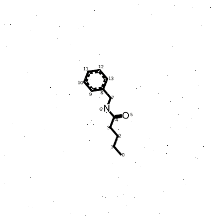 CCCCC(=O)[N]Cc1ccccc1